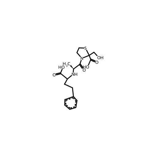 C[C@H](NC(CCc1ccccc1)C(=O)O)C(=O)N1CCSC1(CO)C(=O)O